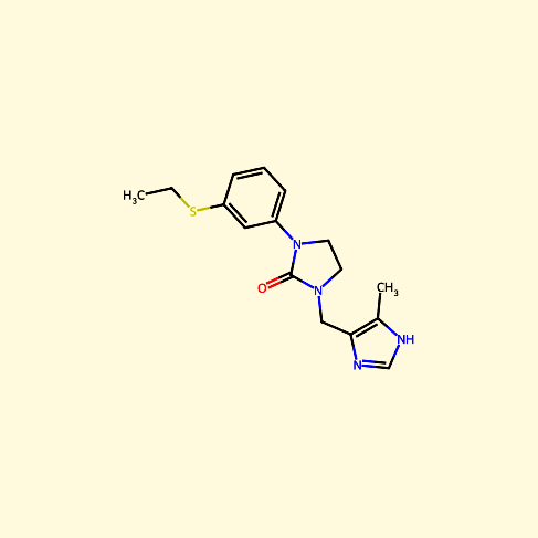 CCSc1cccc(N2CCN(Cc3nc[nH]c3C)C2=O)c1